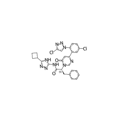 O=C(Nc1nnc(C2CCC2)[nH]1)[C@H](Cc1ccccc1)n1cnc(-c2cc(Cl)ccc2-n2cc(Cl)nn2)cc1=O